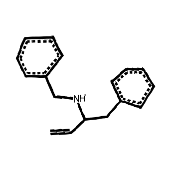 C=CC(Cc1ccccc1)NCc1ccccc1